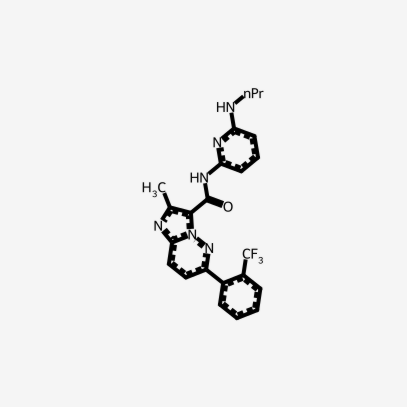 CCCNc1cccc(NC(=O)c2c(C)nc3ccc(-c4ccccc4C(F)(F)F)nn23)n1